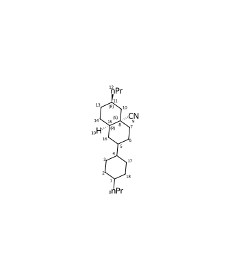 CCCC1CCC(C2CC[C@]3(C#N)C[C@H](CCC)CC[C@@H]3C2)CC1